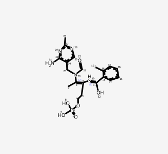 C/C(=C(CCOP(=O)(O)O)/[SH]=C(\O)c1ccccc1I)N(C=O)Cc1cnc(C)nc1N